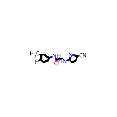 Cc1cc(NC(=O)CNc2ccc(C#N)cn2)ccc1F